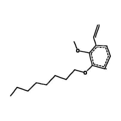 [CH]=Cc1cc[c]c(OCCCCCCCC)c1OC